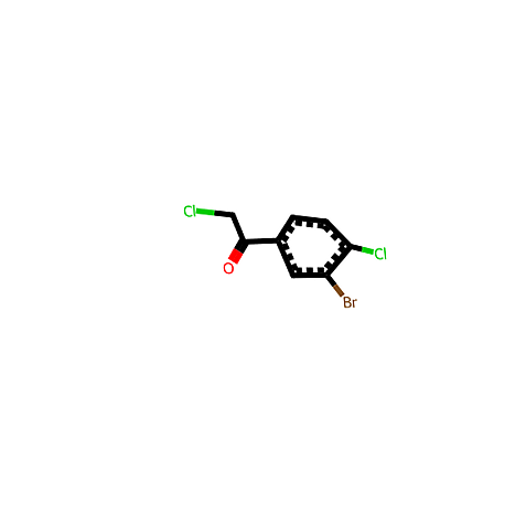 O=C(CCl)c1ccc(Cl)c(Br)c1